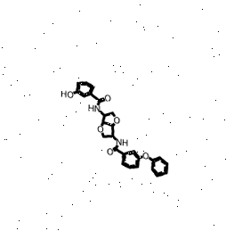 O=C(NC1COC2C(NC(=O)c3cccc(Oc4ccccc4)c3)COC12)c1cccc(O)c1